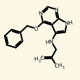 C=C(C)CNc1c[nH]c2ncnc(OCc3ccccc3)c12